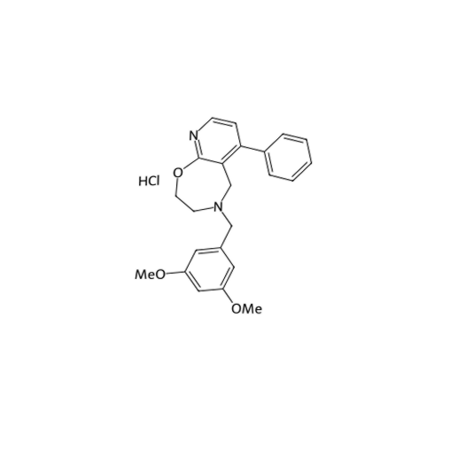 COc1cc(CN2CCOc3nccc(-c4ccccc4)c3C2)cc(OC)c1.Cl